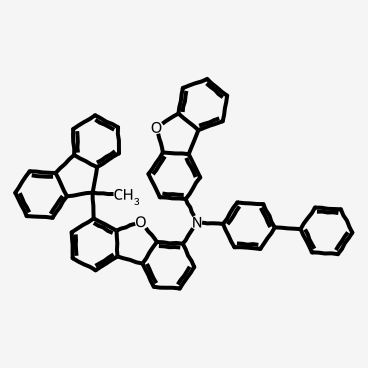 CC1(c2cccc3c2oc2c(N(c4ccc(-c5ccccc5)cc4)c4ccc5oc6ccccc6c5c4)cccc23)c2ccccc2-c2ccccc21